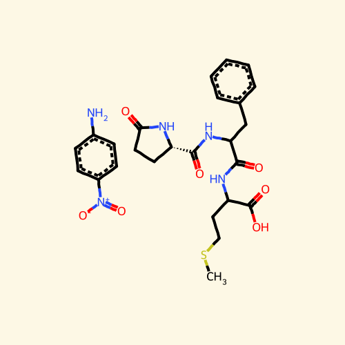 CSCCC(NC(=O)C(Cc1ccccc1)NC(=O)[C@@H]1CCC(=O)N1)C(=O)O.Nc1ccc([N+](=O)[O-])cc1